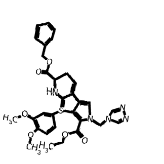 CCOC(=O)c1c2c(cn1Cn1cnnc1)C1=CCC(C(=O)OCc3ccccc3)NC1=S2c1ccc(OC)c(OC)c1